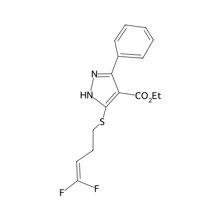 CCOC(=O)c1c(-c2ccccc2)n[nH]c1SCCC=C(F)F